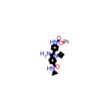 CC(C)OC(=O)Nc1ccc(-c2c(N)c3ccc(C(=O)NC4CC4)cc3n2C2CCC2)cc1